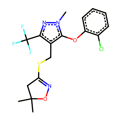 Cn1nc(C(F)(F)F)c(CSC2=NOC(C)(C)C2)c1Oc1ccccc1Cl